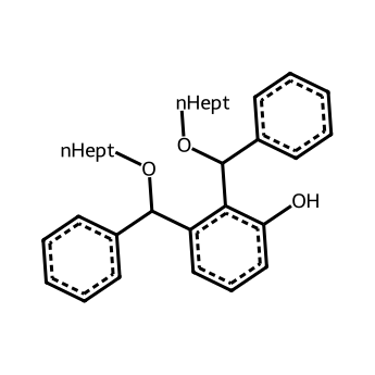 CCCCCCCOC(c1ccccc1)c1cccc(O)c1C(OCCCCCCC)c1ccccc1